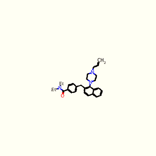 C=CCN1CCN(c2c(Cc3ccc(C(=O)N(CC)CC)cc3)ccc3ccccc23)CC1